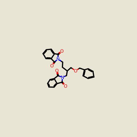 O=C1c2ccccc2C(=O)N1CCC(COCc1ccccc1)CN1C(=O)c2ccccc2C1=O